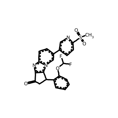 CS(=O)(=O)c1ccc(-c2ccc3nc4c(n3c2)C(c2ccccc2OC(F)F)CC4=O)cn1